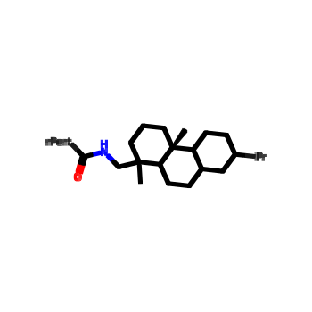 CCCCCC(=O)NCC1(C)CCC[C@]2(C)C3CCC(C(C)C)CC3CCC12